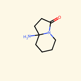 NC12CCCCN1C(=O)CC2